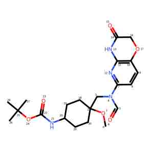 COC1(CN(C=O)c2ccc3c(n2)NC(=O)CO3)CCC(NC(=O)OC(C)(C)C)CC1